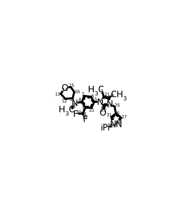 Cc1c(C)n(-c2ccc(N(C)C3CCOCC3)c(C(F)F)c2)c(=O)n1Cc1cnn(C(C)C)c1